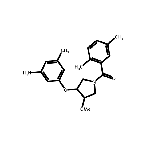 COC1CN(C(=O)c2cc(C)ccc2C)CC1Oc1cc(C)cc(N)c1